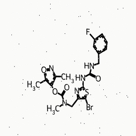 Cc1noc(C)c1OC(=O)N(C)Cc1nc(NC(=O)NCc2cccc(F)c2)sc1Br